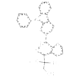 CCC(C)(C)c1nnc(-c2ccc3c4ccccc4n(-c4ccccc4)c3c2)c2ccccc12